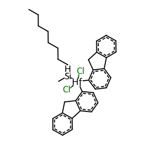 CCCCCCCC[SiH](C)[Hf]([Cl])([Cl])([c]1cccc2c1Cc1ccccc1-2)[c]1cccc2c1Cc1ccccc1-2